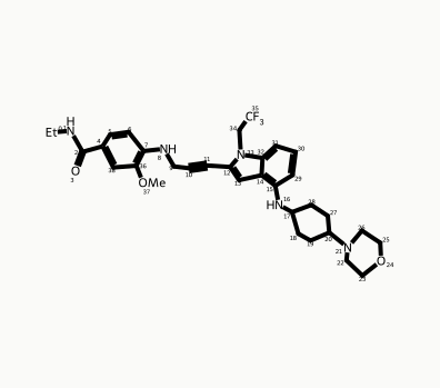 CCNC(=O)c1ccc(NCC#Cc2cc3c(NC4CCC(N5CCOCC5)CC4)cccc3n2CC(F)(F)F)c(OC)c1